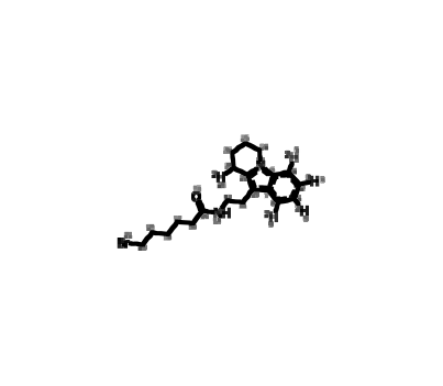 [2H]c1c([2H])c([2H])c2c(c1[2H])c(CCNC(=O)CCCCCBr)c1n2CCCC1[2H]